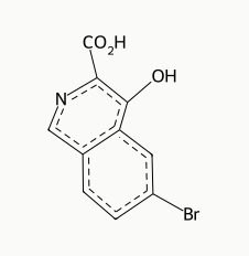 O=C(O)c1ncc2ccc(Br)cc2c1O